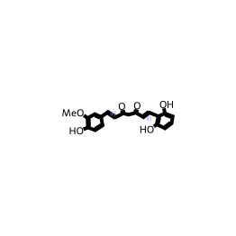 COc1cc(/C=C/C(=O)CC(=O)/C=C/c2c(O)cccc2O)ccc1O